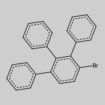 Brc1ccc(-c2ccccc2)c(-c2ccccc2)c1-c1ccccc1